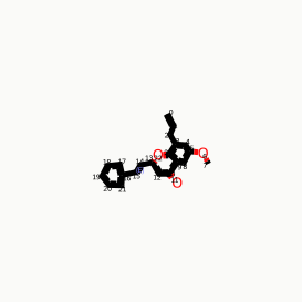 C=CCc1cc(OC)cc2c(=O)cc(/C=C/c3ccccc3)oc12